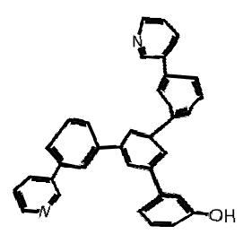 Oc1cccc(C2=CC(c3cccc(-c4cccnc4)c3)CC(c3cccc(-c4cccnc4)c3)=C2)c1